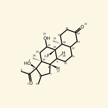 CC(=O)[C@@]1(O)C(C)C[C@H]2[C@@H]3CCC4CC(=O)CC[C@]4(C)[C@@]3(F)C(O)C[C@@]21C